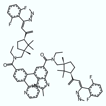 C=C(/C=C(\N=N/C)c1c(F)cccc1F)[C@@H]1CC[C@@](C)(CN(CC)C(=O)c2ccc(-c3ncccn3)c(-c3cc(C(=O)N(CC)C[C@]4(C)CC[C@@H](C(=C)/C=C(\N=N/C)c5c(F)cccc5F)C4(C)C)cc4nc(C)[nH]c34)c2)C1(C)C